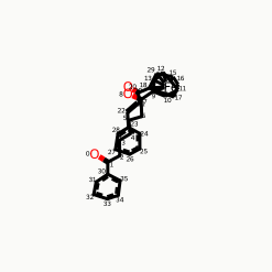 O=C(CCCCCC(=O)[C]12[CH]3[CH]4[CH]5[CH]1[Fe]45321678[CH]2[CH]1[CH]6[C]7(C(=O)C=Cc1ccccc1)[CH]28)c1ccccc1